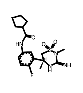 CN1C(=N)N[C@](C)(c2cc(NC(=O)C3CCCC3)ccc2F)CS1(=O)=O